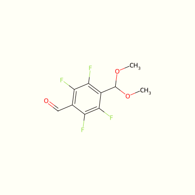 COC(OC)c1c(F)c(F)c(C=O)c(F)c1F